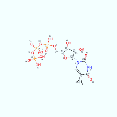 Cc1cn([C@@H]2O[C@H](COP(=O)(O)OP(=O)(O)OP(=O)(O)O)C(O)[C@@H]2O)c(=O)[nH]c1=O